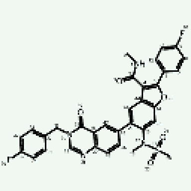 CNC(=O)c1c(-c2ccc(F)cc2)oc2cc(N(C)S(C)(=O)=O)c(-c3ccc4ncn(Cc5ccc(F)cc5)c(=O)c4c3)cc12